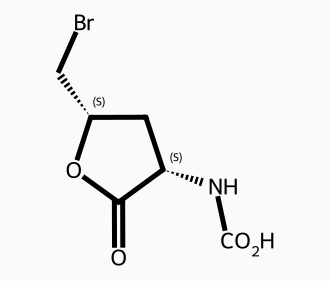 O=C(O)N[C@H]1C[C@@H](CBr)OC1=O